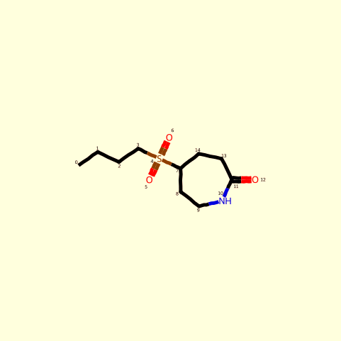 CCCCS(=O)(=O)C1CCNC(=O)CC1